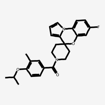 Cc1cc(C(=O)N2CCC3(CC2)Oc2cc(F)ccc2-n2cccc23)ccc1OC(C)C